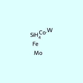 [Co].[Fe].[Mo].[SiH4].[W]